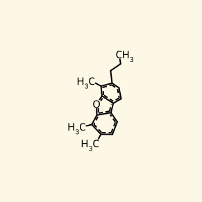 CCCc1ccc2c(oc3c(C)c(C)ccc32)c1C